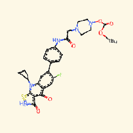 CC(C)(C)OC(=O)ON1CCN(CC(=O)Nc2ccc(-c3cc4c(cc3F)c(=O)c3c(=O)[nH]sc3n4C3CC3)cc2)CC1